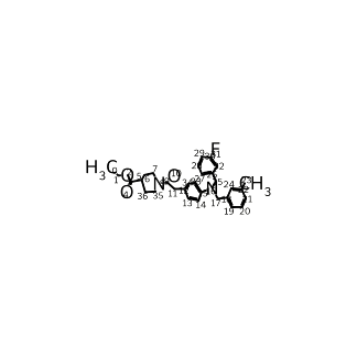 CCOC(=O)C1CCN(C(=O)Cc2ccc(N(Cc3cccc(C)c3)Cc3cccc(F)c3)cc2)CC1